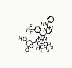 CC(C)(C)c1nc(-c2ccnc(Nc3ccccc3)n2)c(-c2cccc(C(F)(F)F)c2)n1/C=C/C1CC(O)CC(=O)O1